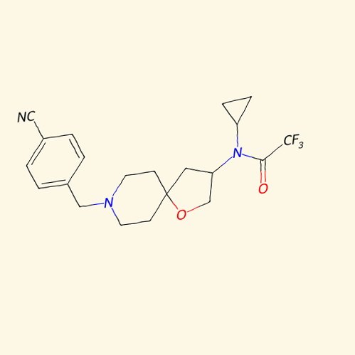 N#Cc1ccc(CN2CCC3(CC2)CC(N(C(=O)C(F)(F)F)C2CC2)CO3)cc1